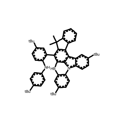 CC(C)(C)c1ccc(Nc2ccc(C(C)(C)C)cc2-c2c3c(c4c5cc(C(C)(C)C)ccc5n5c4c2Bc2cc(C(C)(C)C)ccc2-5)-c2ccccc2C3(C)C)cc1